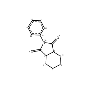 O=C1C2SCCSC2C(=O)N1c1ccccc1